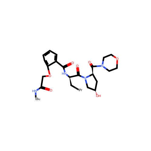 CC(C)C[C@@H](NC(=O)c1ccccc1OCC(=O)NC(C)(C)C)C(=O)N1C[C@@H](O)C[C@@H]1C(=O)N1CCOCC1